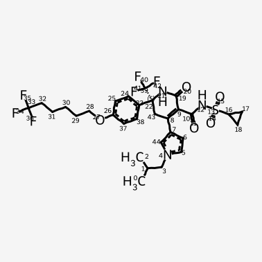 CC(C)Cn1ccc(C2=C(C(=O)NS(=O)(=O)C3CC3)C(=O)N[C@@](c3ccc(OCCCCCC(F)(F)F)cc3)(C(F)(F)F)C2)c1